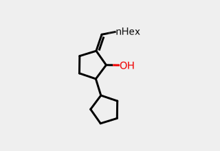 CCCCCC/C=C1/CCC(C2CCCC2)C1O